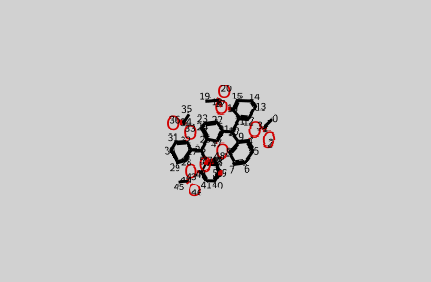 CC(=O)Oc1ccccc1C(c1ccccc1OC(C)=O)c1cccc(C(c2ccccc2OC(C)=O)c2ccccc2OC(C)=O)c1OC(C)=O